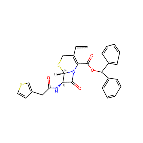 C=CC1=C(C(=O)OC(c2ccccc2)c2ccccc2)N2C(=O)[C@@H](NC(=O)Cc3ccsc3)[C@@H]2SC1